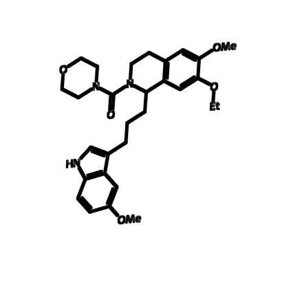 CCOc1cc2c(cc1OC)CCN(C(=O)N1CCOCC1)C2CCCc1c[nH]c2ccc(OC)cc12